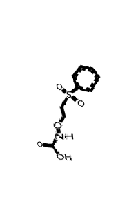 O=C(O)NOCCS(=O)(=O)c1ccccc1